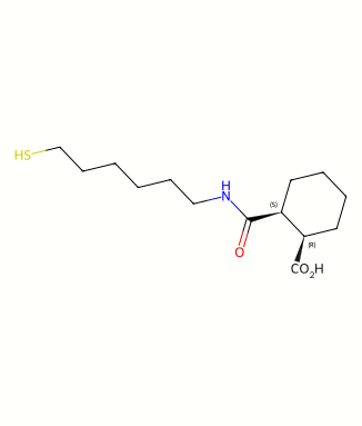 O=C(NCCCCCCS)[C@H]1CCCC[C@H]1C(=O)O